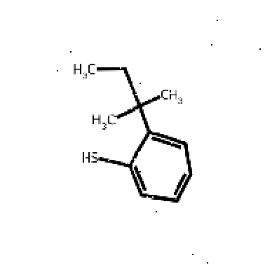 CCC(C)(C)c1ccccc1S